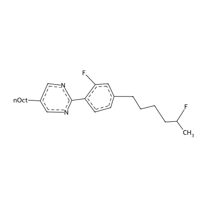 CCCCCCCCc1cnc(-c2ccc(CCCCC(C)F)cc2F)nc1